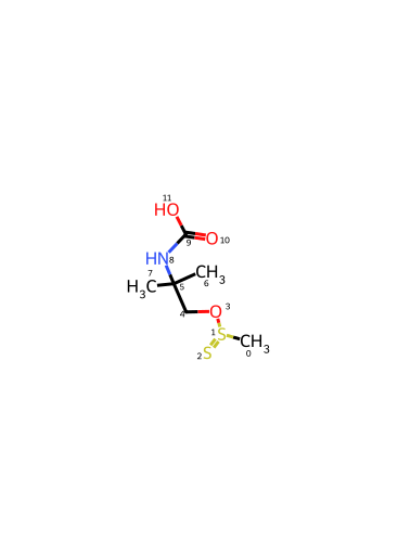 CS(=S)OCC(C)(C)NC(=O)O